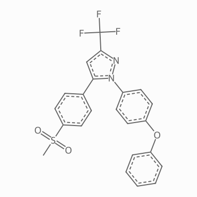 CS(=O)(=O)c1ccc(-c2cc(C(F)(F)F)nn2-c2ccc(Oc3ccccc3)cc2)cc1